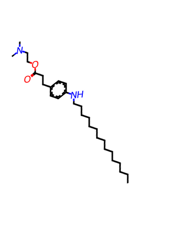 CCCCCCCCCCCCCCCNc1ccc(CCC(=O)OCCN(C)C)cc1